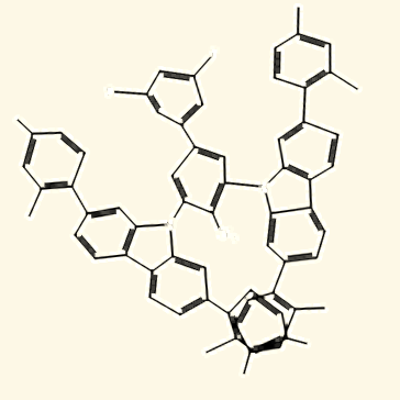 Cc1ccc(-c2ccc3c4ccc(-c5ccc(C)cc5C)cc4n(-c4cc(-c5cc(F)cc(F)c5)cc(-n5c6cc(-c7ccc(C)cc7C)ccc6c6ccc(-c7ccc(C)cc7C)cc65)c4C(F)(F)F)c3c2)c(C)c1